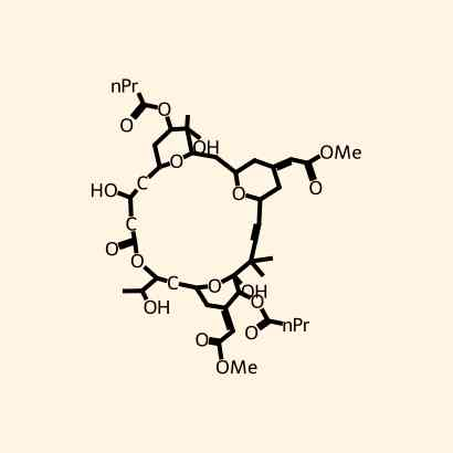 CCCC(=O)OC1CC2CC(O)CC(=O)OC(C(C)O)CC3C/C(=C\C(=O)OC)C(OC(=O)CCC)C(O)(O3)C(C)(C)/C=C/C3C/C(=C\C(=O)OC)CC(CC(O)(O2)C1(C)C)O3